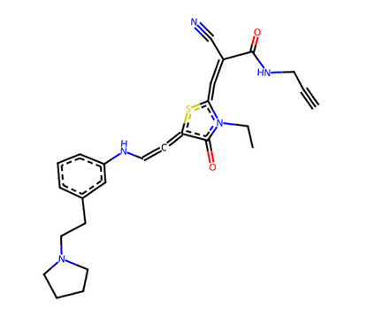 C#CCNC(=O)C(=C=c1sc(=C=CNc2cccc(CCN3CCCC3)c2)c(=O)n1CC)C#N